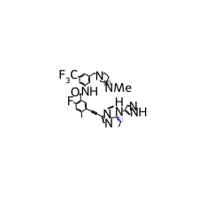 C=Cn1c(C#Cc2cc(C(=O)Nc3cc(CN4CC[C@@H](NC)C4)cc(C(F)(F)F)c3)c(F)cc2C)cnc1/C(=C\C)Nc1cn[nH]c1